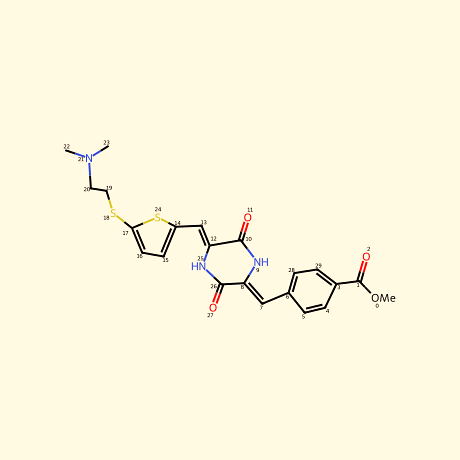 COC(=O)c1ccc(/C=c2\[nH]c(=O)/c(=C/c3ccc(SCCN(C)C)s3)[nH]c2=O)cc1